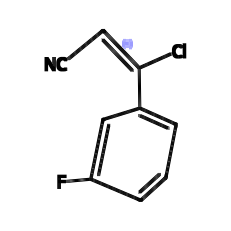 N#C/C=C(/Cl)c1cccc(F)c1